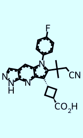 CC(C)(CC#N)c1c([C@H]2C[C@H](C(=O)O)C2)c2nc3[nH]ncc3cc2n1-c1ccc(F)cc1